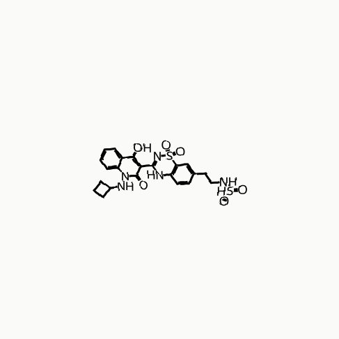 O=c1c(C2=NS(=O)(=O)c3cc(CCN[SH](=O)=O)ccc3N2)c(O)c2ccccc2n1NC1CCC1